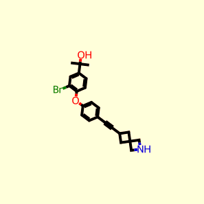 CC(C)(O)c1ccc(Oc2ccc(C#CC3CC4(CNC4)C3)cc2)c(Br)c1